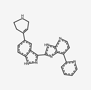 C1=C(c2ccc3[nH]nc(-c4nc5c(-c6ccccn6)ccnc5[nH]4)c3c2)CCNC1